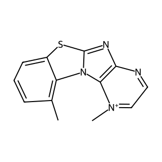 Cc1cccc2sc3nc4ncc[n+](C)c4n3c12